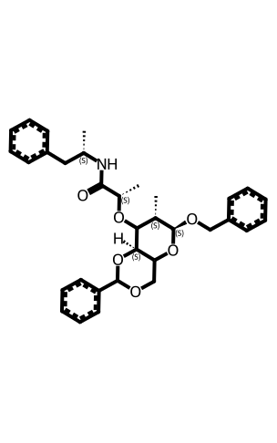 C[C@H](OC1[C@@H]2OC(c3ccccc3)OCC2O[C@H](OCc2ccccc2)[C@H]1C)C(=O)N[C@@H](C)Cc1ccccc1